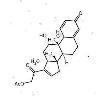 CC(=O)OCC(=O)C1=CC[C@@]2(C)[C@@H]3CCC4=CC(=O)C=C[C@]4(C)[C@@]3(C)[C@@H](O)C[C@]12C